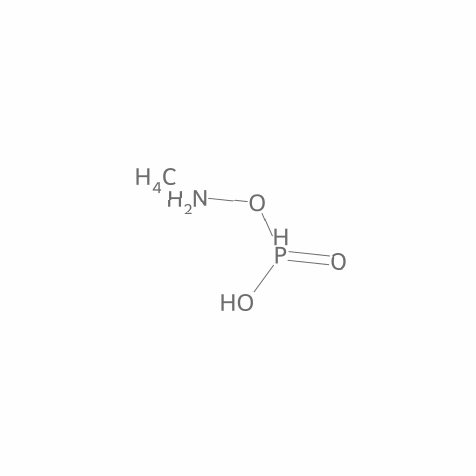 C.NO[PH](=O)O